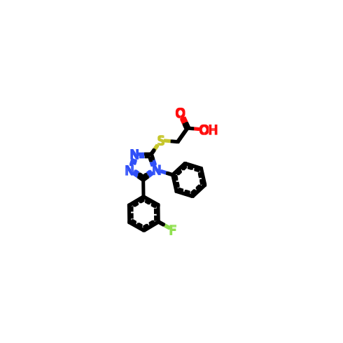 O=C(O)CSc1nnc(-c2cccc(F)c2)n1-c1ccccc1